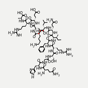 CC[C@H](C)[C@H](NC(=O)[C@H](Cc1ccccc1)NC(=O)[C@H](CCCNC(=N)N)NC(=O)[C@H](CO)NC(=O)CNC(=O)[C@H](Cc1c[nH]cn1)NC(=O)[C@@H](N)CCC(N)=O)C(=O)N[C@@H](CCC(N)=O)C(=O)N[C@@H](CC(C)C)C(=O)N[C@@H](CCCCN)C(=O)N[C@@H](CC(C)C)C(=O)N[C@@H](CCC(=O)O)C(=O)N[C@@H](CCCNC(=N)N)C(=O)N[C@@H](C)C(=O)O